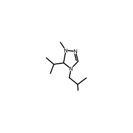 CC(C)CN1C=NN(C)C1C(C)C